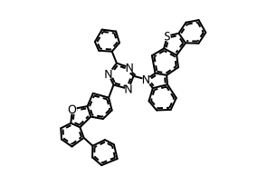 c1ccc(-c2nc(-c3ccc4c(c3)oc3cccc(-c5ccccc5)c34)nc(-n3c4ccccc4c4cc5c(cc43)sc3ccccc35)n2)cc1